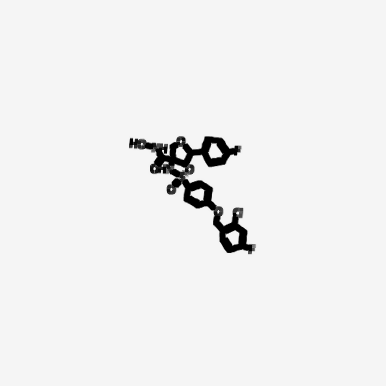 O=C(NO)C1(NS(=O)(=O)c2ccc(OCc3ccc(F)cc3Cl)cc2)COC(c2ccc(F)cc2)C1